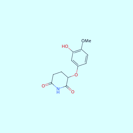 COc1ccc(OC2CCC(=O)NC2=O)cc1O